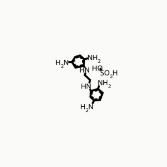 Nc1ccc(N)c(NCCNc2cc(N)ccc2N)c1.O=S(=O)(O)O